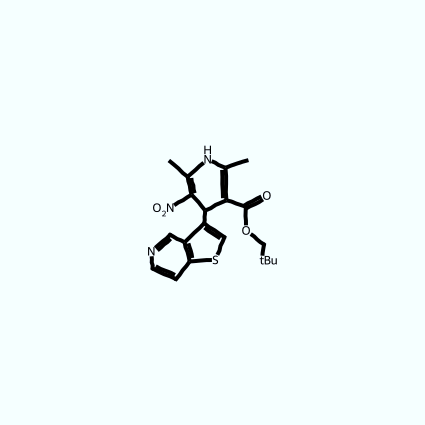 CC1=C(C(=O)OCC(C)(C)C)C(c2csc3ccncc23)C([N+](=O)[O-])=C(C)N1